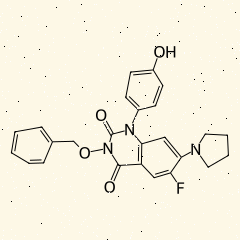 O=c1c2cc(F)c(N3CCCC3)cc2n(-c2ccc(O)cc2)c(=O)n1OCc1ccccc1